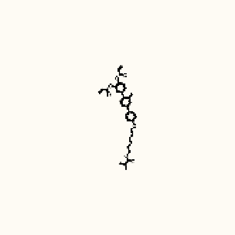 C=CC(=O)Oc1ccc(-c2ccc(-c3ccc(OCCCCCCOC(=O)C(=C)C)cc3)cc2F)cc1OC(=O)C=C